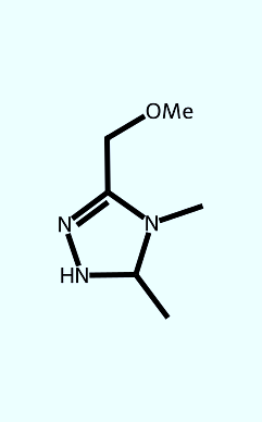 COCC1=NNC(C)N1C